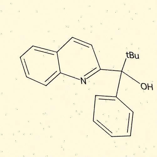 CC(C)(C)C(O)(c1ccccc1)c1ccc2ccccc2n1